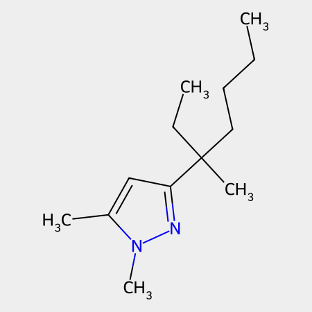 CCCCC(C)(CC)c1cc(C)n(C)n1